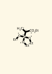 CCOC(=O)C(C)[Si](OCC)(OCC)OCC